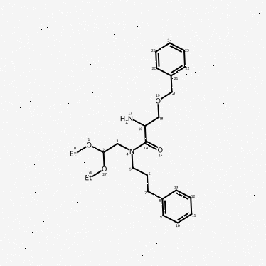 CCOC(CN(CCCc1ccccc1)C(=O)C(N)COCc1ccccc1)OCC